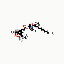 C=C(CCCCCCCCCC)C1=NC(CC)(COC(=O)CCc2cc(C(C)(C)C)c(O)c(C(C)(C)C)c2)CO1